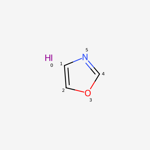 I.c1cocn1